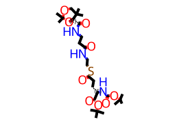 CC(C)(C)OC(=O)N[C@@H](CCC(=O)SCCNC(=O)CCNC(=O)[C@@H]1OC(C)(C)OCC1(C)C)C(=O)OC(C)(C)C